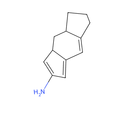 NC1=CC2CC3CCCC3=CC2=C1